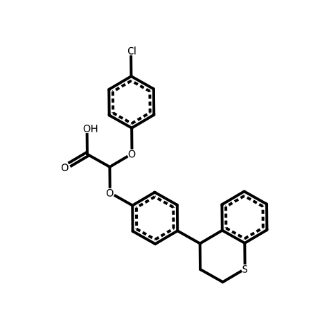 O=C(O)C(Oc1ccc(Cl)cc1)Oc1ccc(C2CCSc3ccccc32)cc1